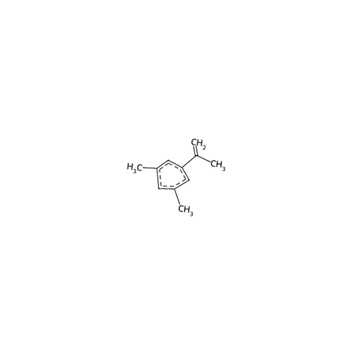 C=C(C)c1cc(C)cc(C)c1